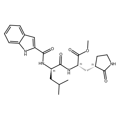 COC(=O)[C@H](C[C@@H]1CCNC1=O)NC(=O)[C@@H](CC(C)C)NC(=O)c1cc2ccccc2[nH]1